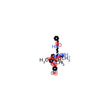 COC1CC(=O)C(C(=O)[C@H]2CCCN2C(=O)[C@H](CCCCNC(=O)OCc2ccccc2)NC(=O)[C@H](C)N)(N(C(=O)Oc2ccc([N+](=O)[O-])cc2)C(C)C)C1=O